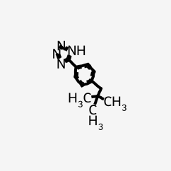 CC(C)(C)Cc1ccc(-c2nnn[nH]2)cc1